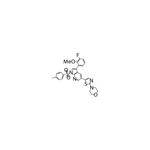 COc1c(F)cccc1-c1cn(S(=O)(=O)c2ccc(C)cc2)c2ncc(-c3cnc(N4CCOCC4)s3)cc12